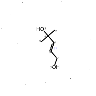 CC(C)(O)/C=C/CO